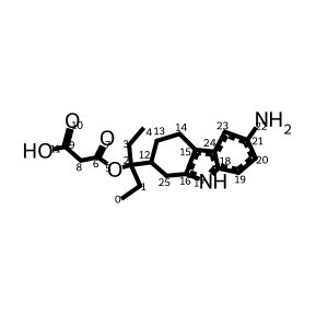 CCC(CC)(OC(=O)CC(=O)O)C1CCc2c([nH]c3ccc(N)cc23)C1